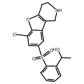 CC(O)c1ccccc1S(=O)(=O)c1cc(Cl)c2oc3c(c2c1)CNCC3